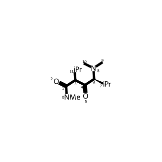 CNC(=O)C(C(=O)[C@H](C(C)C)N(C)C)C(C)C